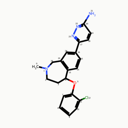 CN1CCC(Oc2ccccc2Cl)c2ccc(-c3ccc(N)nn3)cc2C1